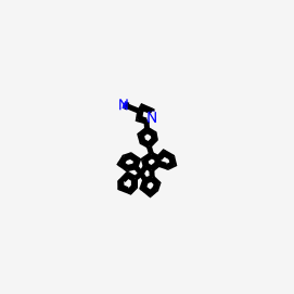 N#Cc1ccnc(-c2ccc(-c3cc4c(c5ccccc35)-c3ccccc3C4(c3ccccc3)c3ccccc3)cc2)c1